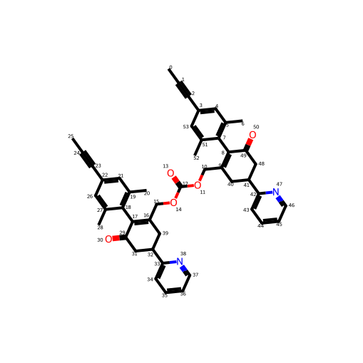 CC#Cc1cc(C)c(C2=C(COC(=O)OCC3=C(c4c(C)cc(C#CC)cc4C)C(=O)CC(c4ccccn4)C3)CC(c3ccccn3)CC2=O)c(C)c1